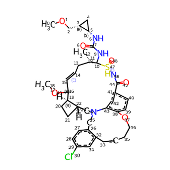 COC[C@@H]1C[C@@H]1NC(=O)NC1[C@@H](C)C/C=C/[C@H](OC)[C@@H]2CC[C@H]2CN2Cc3ccc(Cl)cc3CCCCOc3ccc(cc32)C(=O)/N=[SH]\1=O